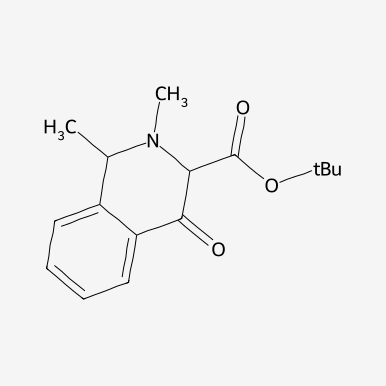 CC1c2ccccc2C(=O)C(C(=O)OC(C)(C)C)N1C